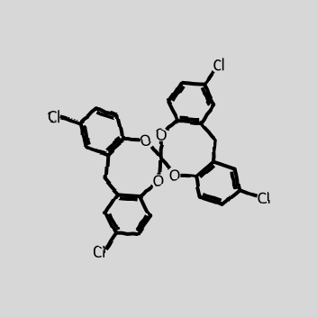 Clc1ccc2c(c1)Cc1cc(Cl)ccc1OC1(O2)Oc2ccc(Cl)cc2Cc2cc(Cl)ccc2O1